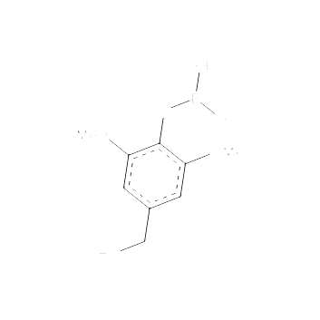 COc1cc(CO)cc(OC)c1OB(O)O